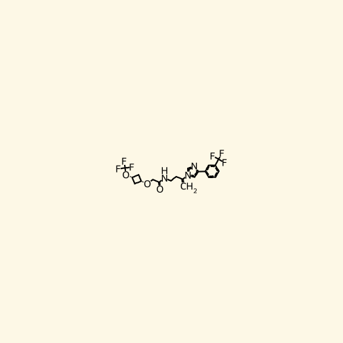 C=C(CCNC(=O)CO[C@H]1C[C@@H](OC(F)(F)F)C1)n1cnc(-c2cccc(C(F)(F)F)c2)c1